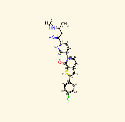 CN[C@@H](C)CC(=N)c1ccc(-n2ccc3cc(-c4ccc(Cl)cc4)sc3c2=O)cn1